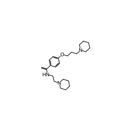 C=C(NCCN1CCCCC1)c1ccc(OCCCN2CCCCC2)cc1